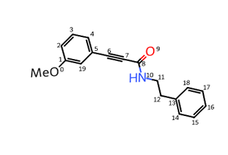 COc1cccc(C#CC(=O)NCCc2ccccc2)c1